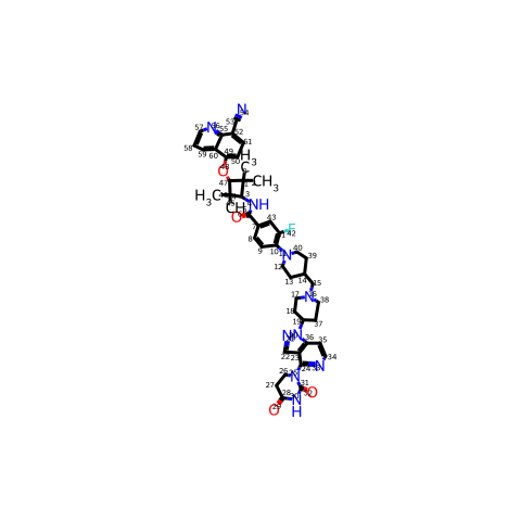 CC1(C)C(NC(=O)c2ccc(N3CCC(CN4CCC(n5ncc6c(N7CCC(=O)NC7=O)nccc65)CC4)CC3)c(F)c2)C(C)(C)C1Oc1ccc(C#N)c2ncccc12